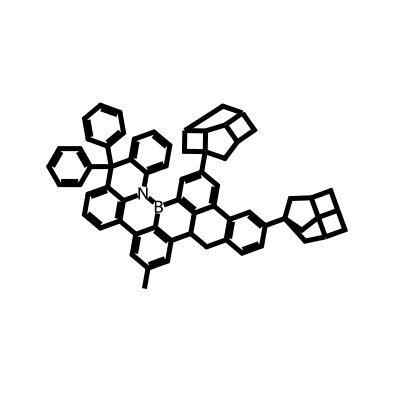 Cc1cc2c3c(c1)C1Cc4ccc(C56CC7CC8CC(C5)C87C6)cc4-c4cc(C56CC7CC8CC(C5)C6C87)cc(c41)B3N1c3ccccc3C(c3ccccc3)(c3ccccc3)c3cccc-2c31